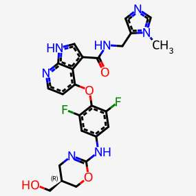 Cn1cncc1CNC(=O)c1c[nH]c2nccc(Oc3c(F)cc(NC4=NC[C@H](CO)CO4)cc3F)c12